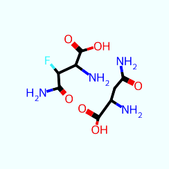 NC(=O)C(F)C(N)C(=O)O.NC(=O)CC(N)C(=O)O